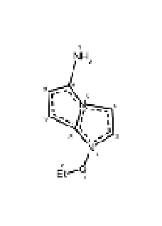 CCOn1ccn2c(N)ccc12